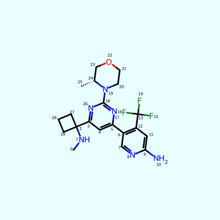 CNC1(c2cc(-c3cnc(N)cc3C(F)(F)F)nc(N3CCOC[C@H]3C)n2)CCC1